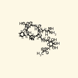 C[C@H](F)C(=O)NC[C@H]1OC(C(=O)NCCCC[C@H]2C(=O)N[C@@H](CCCNC(=N)N)C(=O)NCC(=O)N[C@@H](CC(=O)O)C(=O)N[C@@H](Cc3ccccc3)c3cn2nn3)[C@@H](O)[C@@H](O)C1O